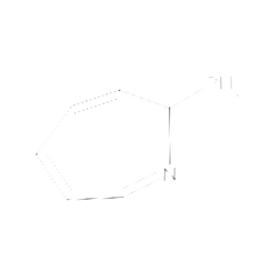 BC1C=CC=CC=N1